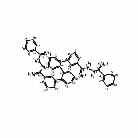 N=C(NNC(=N)c1cccc(-c2ccccc2-c2ccccc2-c2cccc(C(=N)NNC(=N)c3ccccc3)c2)c1)c1ccccc1